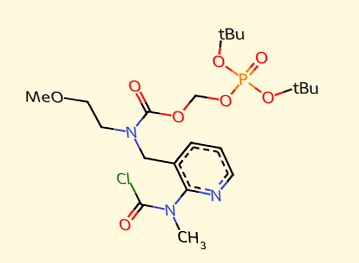 COCCN(Cc1cccnc1N(C)C(=O)Cl)C(=O)OCOP(=O)(OC(C)(C)C)OC(C)(C)C